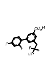 O=C(O)c1cc(CC(O)(F)F)cc(-c2ccc(F)cc2F)c1